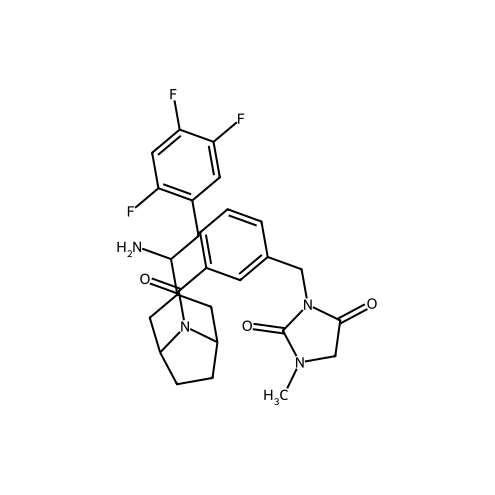 CN1CC(=O)N(Cc2cccc(C(=O)N3C4CCC3CC(C(N)Cc3cc(F)c(F)cc3F)C4)c2)C1=O